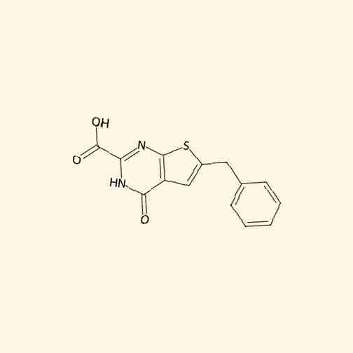 O=C(O)c1nc2sc(Cc3ccccc3)cc2c(=O)[nH]1